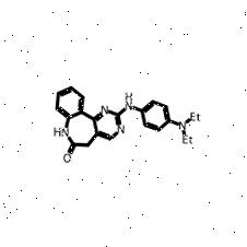 CCN(CC)c1ccc(Nc2ncc3c(n2)-c2ccccc2NC(=O)C3)cc1